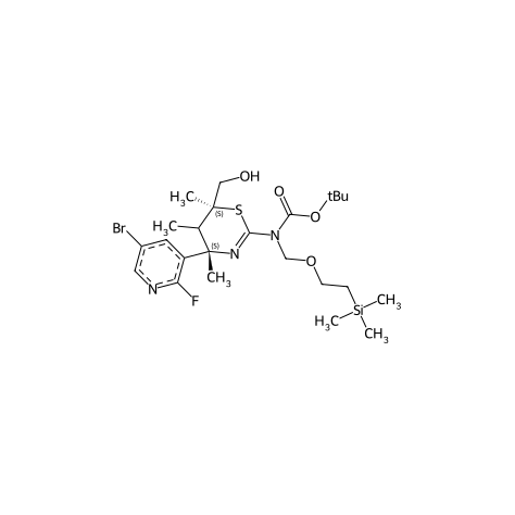 CC1[C@@](C)(CO)SC(N(COCC[Si](C)(C)C)C(=O)OC(C)(C)C)=N[C@]1(C)c1cc(Br)cnc1F